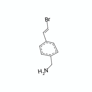 NCc1ccc(C=CBr)cc1